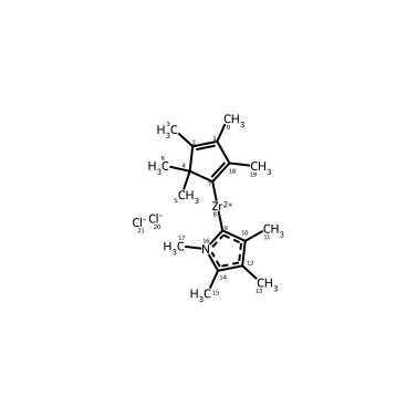 CC1=C(C)C(C)(C)[C]([Zr+2][c]2c(C)c(C)c(C)n2C)=C1C.[Cl-].[Cl-]